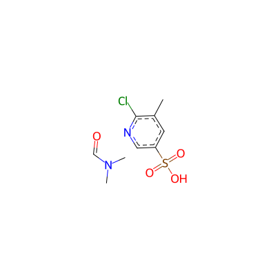 CN(C)C=O.Cc1cc(S(=O)(=O)O)cnc1Cl